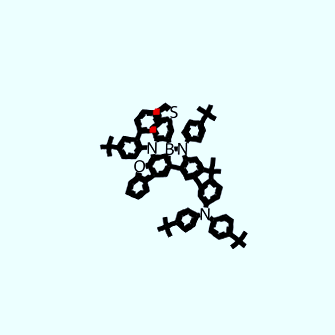 CC(C)(C)c1ccc(N2B3c4cc5sccc5cc4N(c4ccc(C(C)(C)C)cc4-c4ccccc4)c4c3c(cc3c4oc4ccccc43)-c3cc4c(cc32)C(C)(C)c2ccc(N(c3ccc(C(C)(C)C)cc3)c3ccc(C(C)(C)C)cc3)cc2-4)cc1